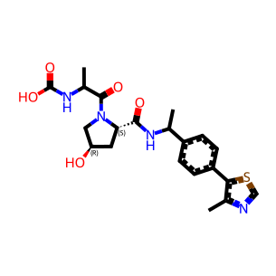 Cc1ncsc1-c1ccc(C(C)NC(=O)[C@@H]2C[C@@H](O)CN2C(=O)C(C)NC(=O)O)cc1